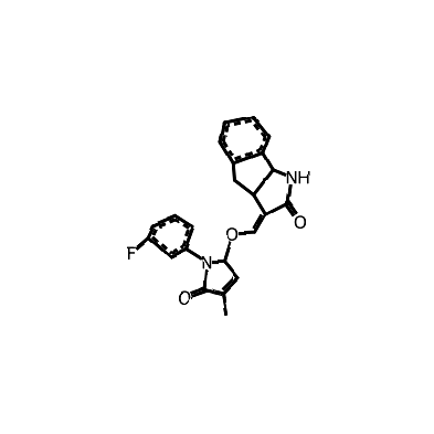 CC1=CC(O/C=C2/C(=O)NC3c4ccccc4CC23)N(c2cccc(F)c2)C1=O